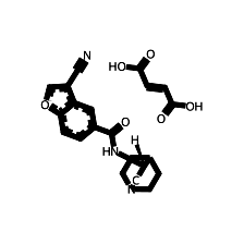 N#Cc1coc2ccc(C(=O)N[C@H]3CN4CCC3CC4)cc12.O=C(O)C=CC(=O)O